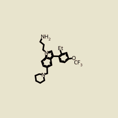 CCc1cc(OC(F)(F)F)ccc1-c1cn(CCCN)c2ccc(CN3CCCCC3)cc12